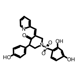 O=C1/C(=C\c2ccccn2)CN(S(=O)(=O)c2ccc(O)cc2O)CC1c1ccc(O)cc1